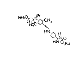 COC(=O)CC(=O)N(c1cc(C)c(C#CCNc2ccc(C(=N)NC(=O)OC(C)(C)C)cc2)cc1C)C(C)C